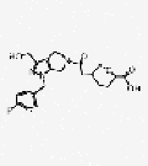 O=C(O)C1CCC(CC(=O)N2CCc3c(CO)nn(Cc4ccc(F)cc4)c3C2)CC1